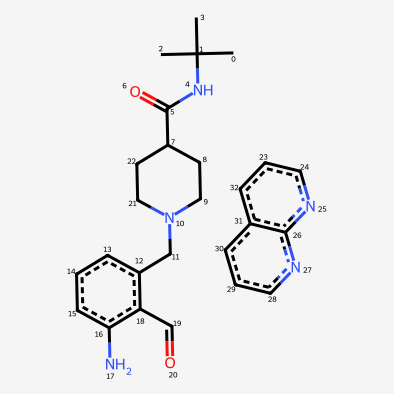 CC(C)(C)NC(=O)C1CCN(Cc2cccc(N)c2C=O)CC1.c1cnc2ncccc2c1